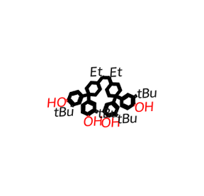 CCC(C1CCC(c2ccc(O)c(C(C)(C)C)c2)(c2ccc(O)c(C(C)(C)C)c2)CC1)C(CC)C1CCC(c2ccc(O)c(C(C)(C)C)c2)(c2ccc(O)c(C(C)(C)C)c2)CC1